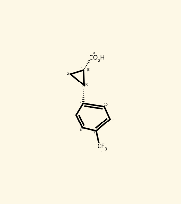 O=C(O)[C@H]1C[C@H]1c1ccc(C(F)(F)F)cc1